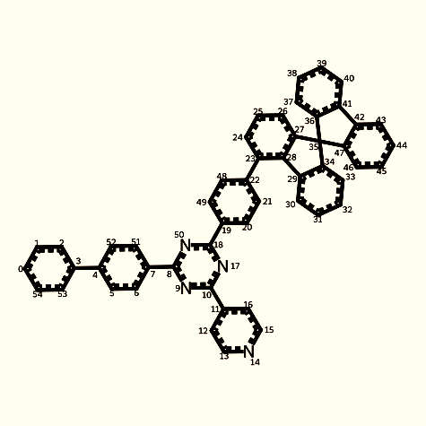 c1ccc(-c2ccc(-c3nc(-c4ccncc4)nc(-c4ccc(-c5cccc6c5-c5ccccc5C65c6ccccc6-c6ccccc65)cc4)n3)cc2)cc1